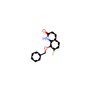 O=c1ccc2ccc(F)c(OCc3ccccc3)c2[nH]1